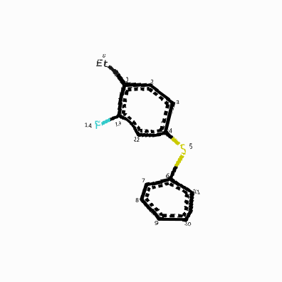 CCc1ccc(Sc2ccccc2)cc1F